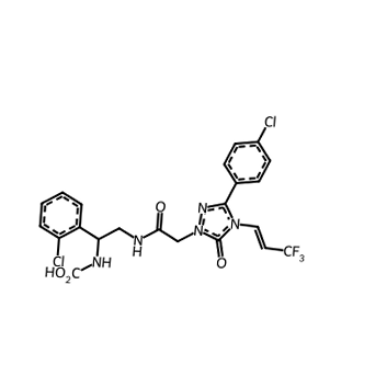 O=C(O)NC(CNC(=O)Cn1nc(-c2ccc(Cl)cc2)n(/C=C/C(F)(F)F)c1=O)c1ccccc1Cl